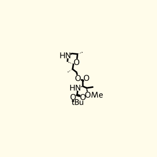 CO[C@H](C)[C@H](NC(=O)OC(C)(C)C)C(=O)OC[C@H](C)[C@@H]1CNC[C@H](C)O1